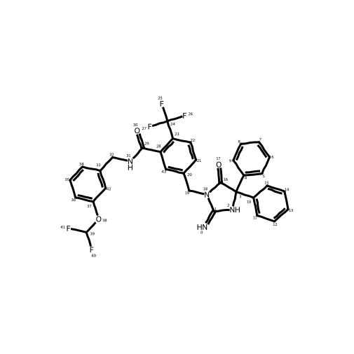 N=C1NC(c2ccccc2)(c2ccccc2)C(=O)N1Cc1ccc(C(F)(F)F)c(C(=O)NCc2cccc(OC(F)F)c2)c1